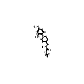 CC(C)(C)OC(=O)NCC1CCN(c2ccc(N)cc2Cl)CC1